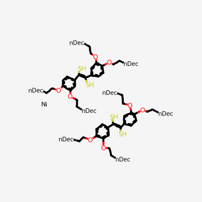 CCCCCCCCCCCCOc1ccc(C(S)=C(S)c2ccc(OCCCCCCCCCCCC)c(OCCCCCCCCCCCC)c2)cc1OCCCCCCCCCCCC.CCCCCCCCCCCCOc1ccc(C(S)=C(S)c2ccc(OCCCCCCCCCCCC)c(OCCCCCCCCCCCC)c2)cc1OCCCCCCCCCCCC.[Ni]